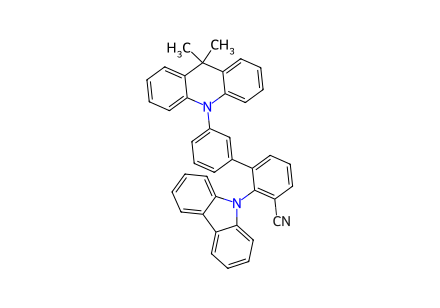 CC1(C)c2ccccc2N(c2cccc(-c3cccc(C#N)c3-n3c4ccccc4c4ccccc43)c2)c2ccccc21